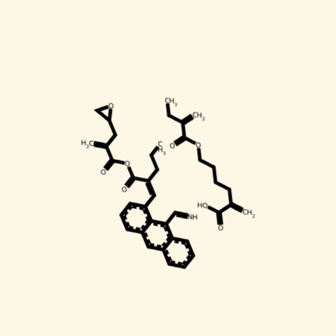 C=C(CC1CO1)C(=O)OC(=O)C(=Cc1cccc2cc3ccccc3c(C=N)c12)CCC.C=C(CCCCOC(=O)C(=C)CC)C(=O)O